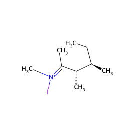 CC[C@@H](C)[C@H](C)C(C)=[N+](C)I